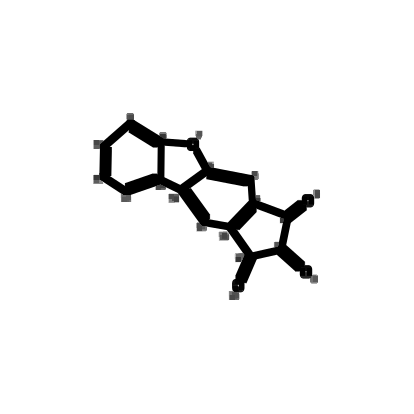 O=c1c(=O)c2cc3oc4ccccc4c3cc2c1=O